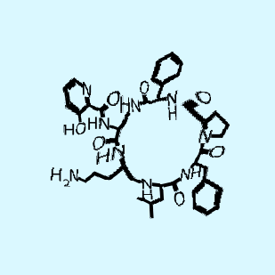 CC(C)CC1NCC(CCCN)NC(=O)C(NC(=O)c2ncccc2O)CNC(=O)C(c2ccccc2)NC(=O)C2CCCN2C(=O)C(Cc2ccccc2)NC1=O